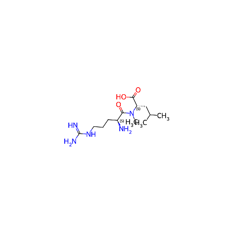 CC(C)C[C@@H](C(=O)O)N(C)C(=O)[C@@H](N)CCCNC(=N)N